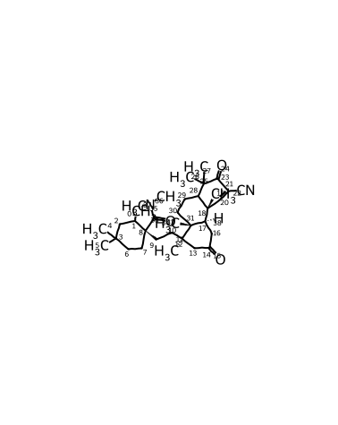 CC1CC(C)(C)CC[C@@]1(CC[C@]1(C)CC(=O)C[C@@H]2[C@@]3(C)C=C(C#N)C(=O)C(C)(C)C3CC[C@]21C)C(=O)N(C)C